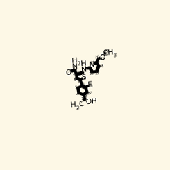 C=C(O)c1ccc(-c2cc(C(N)=O)c(Nc3cccc(COC)n3)s2)c(F)c1